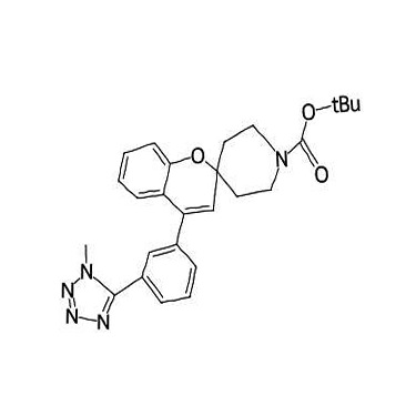 Cn1nnnc1-c1cccc(C2=CC3(CCN(C(=O)OC(C)(C)C)CC3)Oc3ccccc32)c1